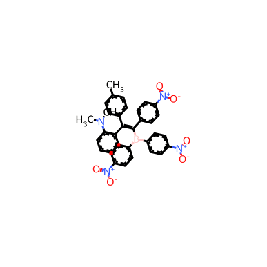 Cc1ccc(/C(=C(/B(c2ccc([N+](=O)[O-])cc2)c2ccc([N+](=O)[O-])cc2)c2ccc([N+](=O)[O-])cc2)c2ccccc2N(C)C)cc1